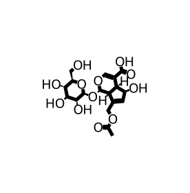 CC(=O)OCC1=C[C@H](O)[C@@H]2C(C(=O)O)=CO[C@@H](O[C@@H]3O[C@H](CO)[C@@H](O)[C@H](O)[C@H]3O)[C@H]12